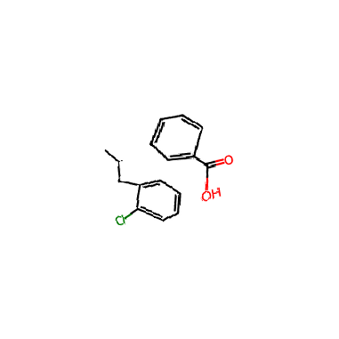 C[CH]Cc1ccccc1Cl.O=C(O)c1ccccc1